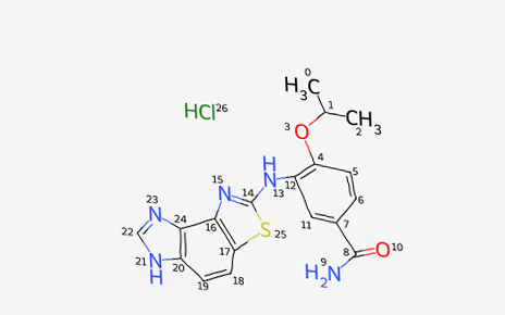 CC(C)Oc1ccc(C(N)=O)cc1Nc1nc2c(ccc3[nH]cnc32)s1.Cl